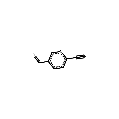 N#Cc1ccc([C]=O)cn1